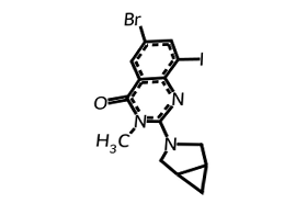 Cn1c(N2CC3CC3C2)nc2c(I)cc(Br)cc2c1=O